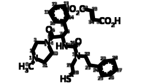 CN1CCN(C(=O)C(Cc2ccccc2)NC(=O)N(CCS)CCc2ccccc2)CC1.O=C(O)/C=C/C(=O)O